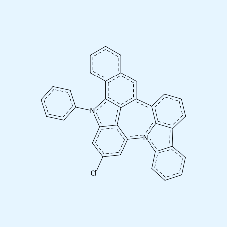 Clc1cc2c3c4c(cc5ccccc5c4n2-c2ccccc2)c2cccc4c5ccccc5n(c3c1)c24